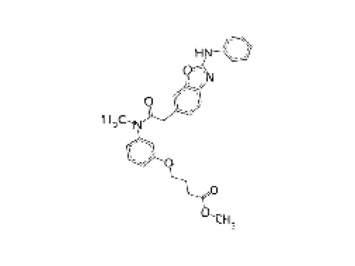 COC(=O)CCCOc1cccc(N(C)C(=O)Cc2ccc3nc(Nc4ccccc4)oc3c2)c1